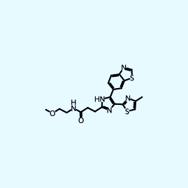 COCCNC(=O)CCc1nc(-c2nc(C)cs2)c(-c2ccc3ncsc3c2)[nH]1